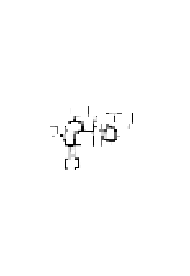 Cc1cc(CNc2ccccc2C(=O)O)c2nc(N3CCCCC3)cc(=O)n2c1